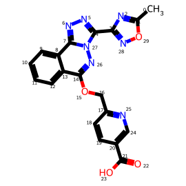 Cc1nc(-c2nnc3c4ccccc4c(OCc4ccc(C(=O)O)cn4)nn23)no1